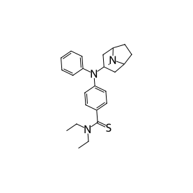 CCN(CC)C(=S)c1ccc(N(c2ccccc2)C2CC3CCC(C2)N3C)cc1